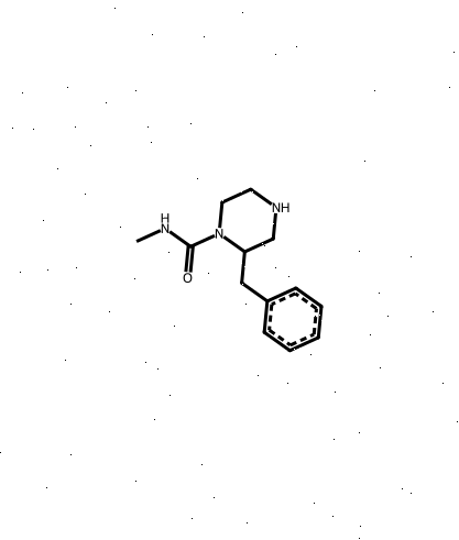 CNC(=O)N1CCNCC1Cc1ccccc1